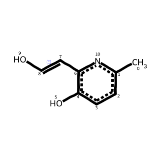 Cc1ccc(O)c(/C=C/O)n1